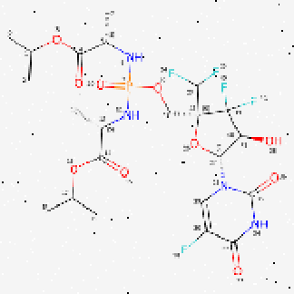 CC(C)OC(=O)[C@H](C)NP(=O)(N[C@@H](C)C(=O)OC(C)C)OC[C@@]1(C(F)F)O[C@@H](n2cc(F)c(=O)[nH]c2=O)[C@H](O)C1(F)F